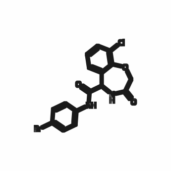 O=C1COc2c(Cl)cccc2C(C(=O)Nc2ccc(Br)cc2)N1